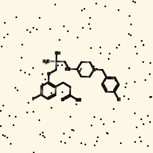 C[C@](O)(CNC1CCN(Cc2ccc(Cl)cc2)CC1)COc1cc(F)ccc1CCC(=O)O